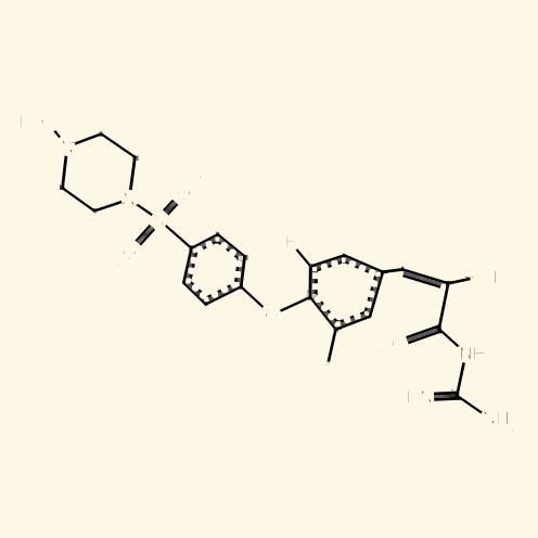 CC(=Cc1cc(F)c(Oc2ccc(S(=O)(=O)N3CCN(C)CC3)cc2)c(F)c1)C(=O)NC(=N)N